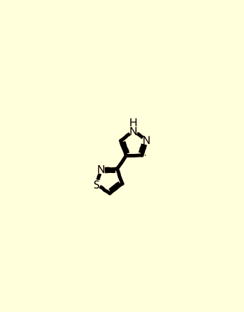 [c]1n[nH]cc1-c1ccsn1